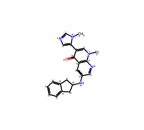 CCn1cc(-c2cncn2C)c(=O)c2cc(NC3Cc4ccccc4C3)cnc21